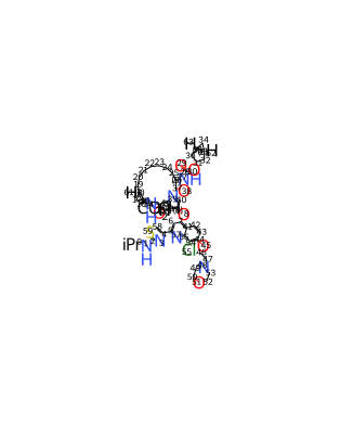 CC(C)Nc1nc(-c2cc(O[C@@H]3C[C@H]4C(=O)N[C@]5(C(=O)O)C[C@H]5CCCCCCC[C@H](NC(=O)OC5C[C@@H]6C[C@@H]6C5)C(=O)N4C3)c3ccc(OCCN4CCOCC4)c(Cl)c3n2)cs1